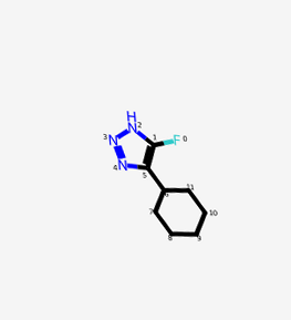 Fc1[nH]nnc1C1CCCCC1